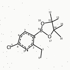 CCc1nc(Cl)ccc1B1OC(C)(C)C(C)(C)O1